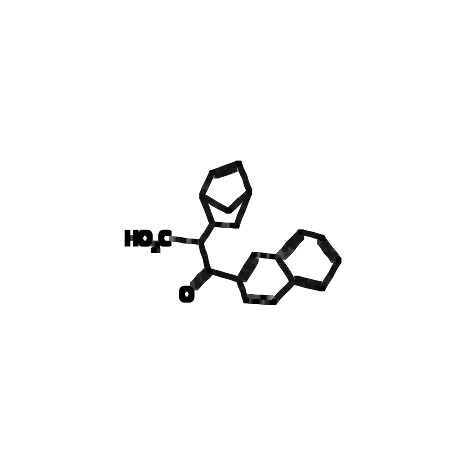 O=C(O)C(C(=O)c1ccc2ccccc2c1)C1CC2C=CC1C2